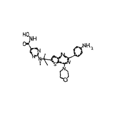 CN(c1ncc(C(=O)NO)cn1)C(C)(C)c1cc2nc(-c3ccc(N)cc3)nc(N3CCOCC3)c2s1